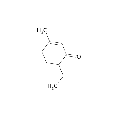 CCC1CCC(C)=CC1=O